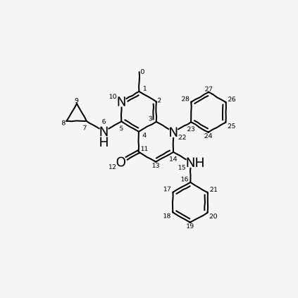 Cc1cc2c(c(NC3CC3)n1)c(=O)cc(Nc1ccccc1)n2-c1ccccc1